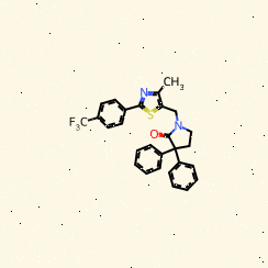 Cc1nc(-c2ccc(C(F)(F)F)cc2)sc1CN1CCC(c2ccccc2)(c2ccccc2)C1=O